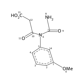 COc1cccc(N(C(N)=O)C(=O)CC(=O)O)c1